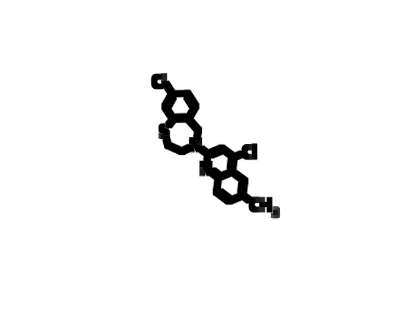 Cc1ccc2nc(N3CCSc4cc(Cl)ccc4C3)cc(Cl)c2c1